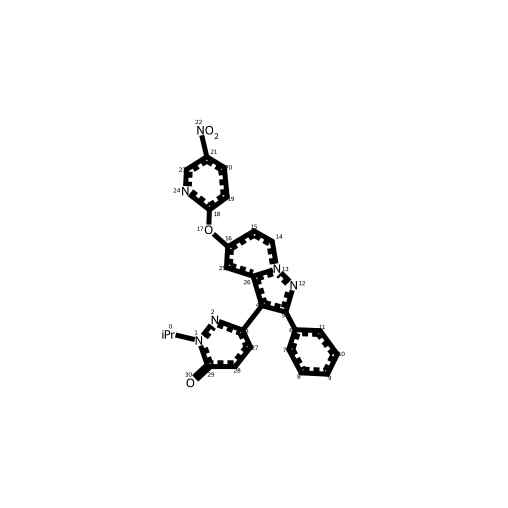 CC(C)n1nc(-c2c(-c3ccccc3)nn3ccc(Oc4ccc([N+](=O)[O-])cn4)cc23)ccc1=O